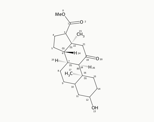 COC(=O)C1CC[C@H]2[C@@H]3CCC4CC(O)CC[C@]4(C)[C@@H]3C(=O)C[C@]12C